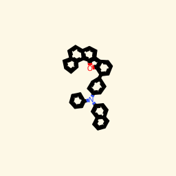 c1ccc(N(c2ccc(-c3cccc4c3oc3c4ccc4ccc5ccccc5c43)cc2)c2ccc3ccccc3c2)cc1